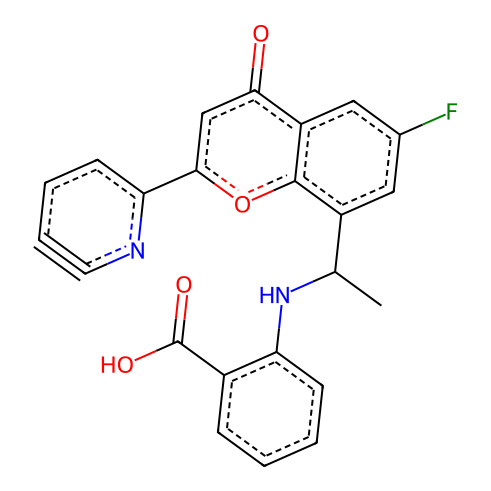 CC(Nc1ccccc1C(=O)O)c1cc(F)cc2c(=O)cc(-c3ccc#cn3)oc12